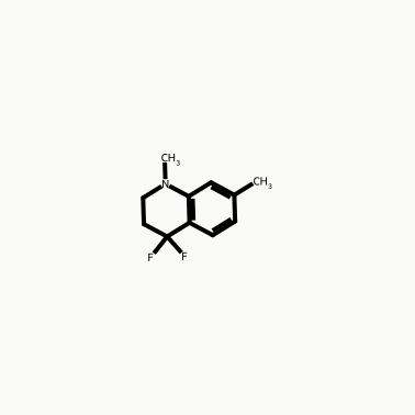 Cc1ccc2c(c1)N(C)CCC2(F)F